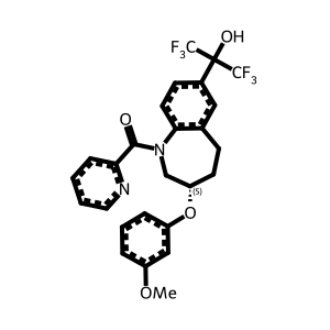 COc1cccc(O[C@H]2CCc3cc(C(O)(C(F)(F)F)C(F)(F)F)ccc3N(C(=O)c3ccccn3)C2)c1